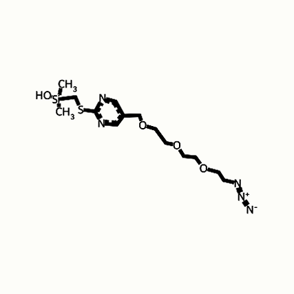 C[Si](C)(O)CSc1ncc(COCCOCCOCCN=[N+]=[N-])cn1